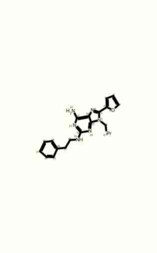 CC(C)Cn1c(-c2ccco2)nc2c(N)nc(NCCc3ccccc3)nc21